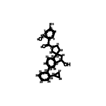 O=C(c1ccc(F)c[n+]1[O-])N1CCC2(CC(O)c3cc(-c4ccccc4C4CC4)ccc32)C1